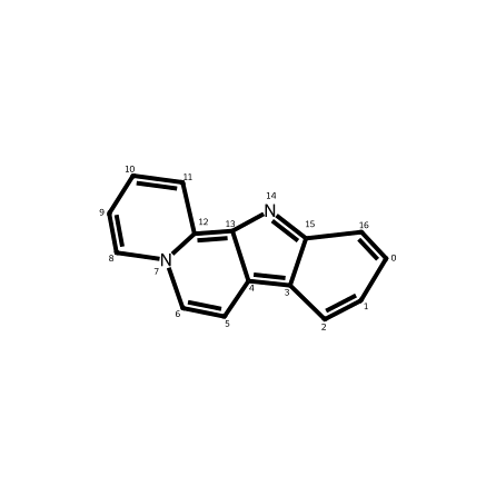 c1ccc2c3ccn4ccccc4c-3nc2c1